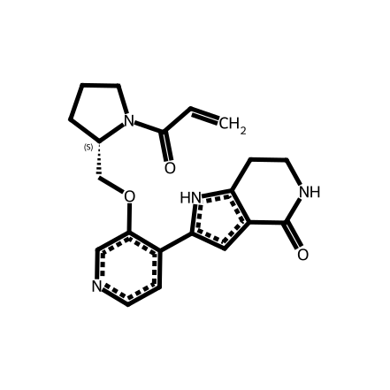 C=CC(=O)N1CCC[C@H]1COc1cnccc1-c1cc2c([nH]1)CCNC2=O